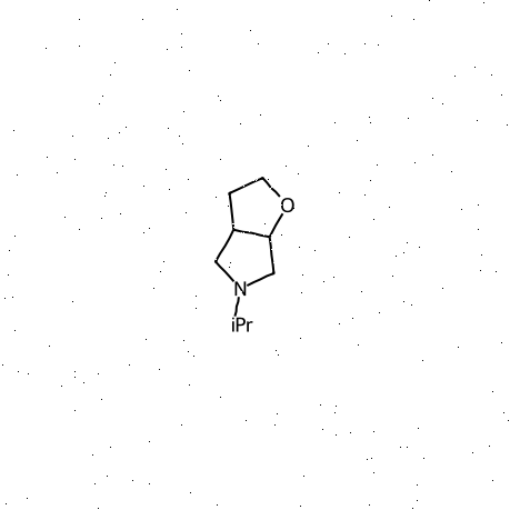 CC(C)N1CC2CCOC2C1